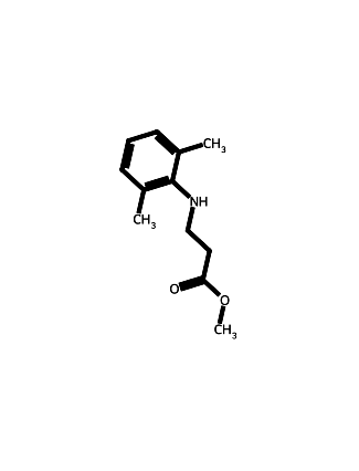 COC(=O)CCNc1c(C)cccc1C